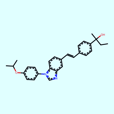 CCC(C)(O)c1ccc(C=Cc2ccc3c(c2)ncn3-c2ccc(OC(C)C)cc2)cc1